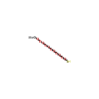 COCCOCCOCCOCCOCCOCCOCCOCCOCCOCCOCCOCCS